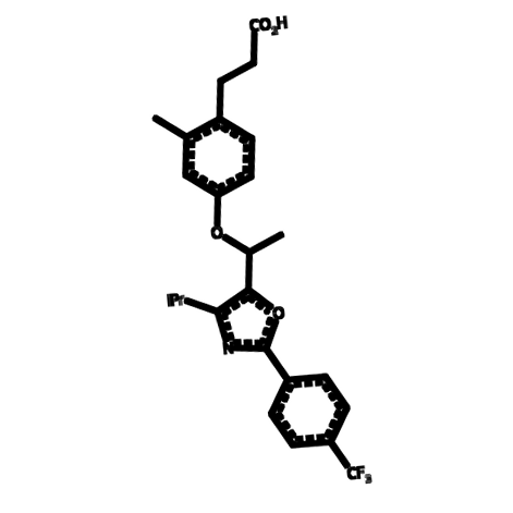 Cc1cc(OC(C)c2oc(-c3ccc(C(F)(F)F)cc3)nc2C(C)C)ccc1CCC(=O)O